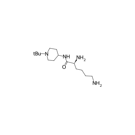 CC(C)(C)N1CCC(NC(=O)[C@@H](N)CCCCN)CC1